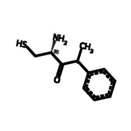 C[C](C(=O)[C@@H](N)CS)c1ccccc1